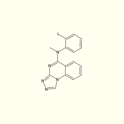 CN(c1ccccc1I)c1nc2nncn2c2ccccc12